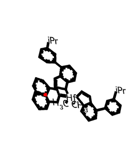 CC(C)c1cccc(-c2cccc3c2C=C[CH]3[Hf]([CH3])([CH3])(=[C](Cc2ccccc2)Cc2ccccc2)[CH]2C=Cc3c(-c4cccc(C(C)C)c4)cccc32)c1